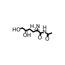 CC(=O)NC(=O)[C@H](N)CC[C@H](O)CO